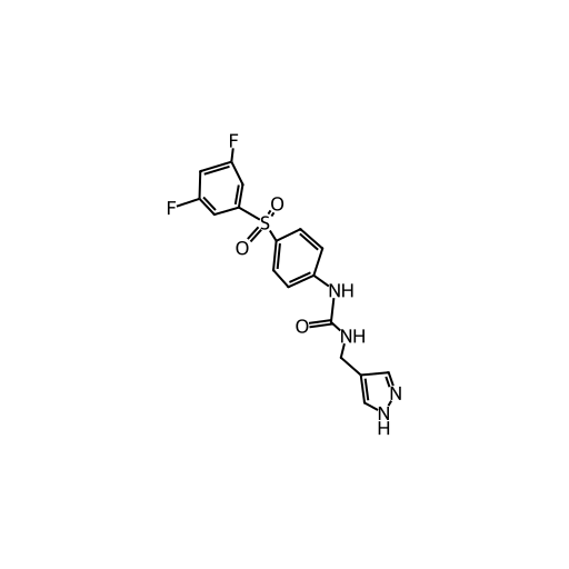 O=C(NCc1cn[nH]c1)Nc1ccc(S(=O)(=O)c2cc(F)cc(F)c2)cc1